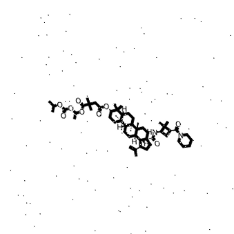 C=C(C)[C@@H]1CC[C@]2(C(=O)N[C@@H]3C[C@H](C(=O)N4CCCCC4)C3(C)C)CC[C@]3(C)[C@H](CC[C@@H]4[C@@]5(C)CC[C@H](OC(=O)CC(C)(C)C(=O)OC(C)OC(=O)OC(C)C)C(C)(C)[C@@H]5CC[C@]43C)[C@@H]12